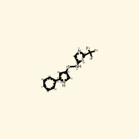 FC(F)(F)c1ncc(NSc2c[nH]c(-c3ccccc3)c2)s1